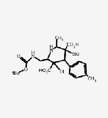 CCC1(C(=O)O)C(CNC(=O)OC(C)(C)C)NC(C)C(C(=O)O)(C(C)(C)C)C1c1ccc(C)cc1